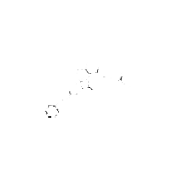 CC1=C(C(=O)OCOC(=O)C(C)(C)C)N2C(=O)C(NC(=O)COc3ccccc3)[C@H]2SC1